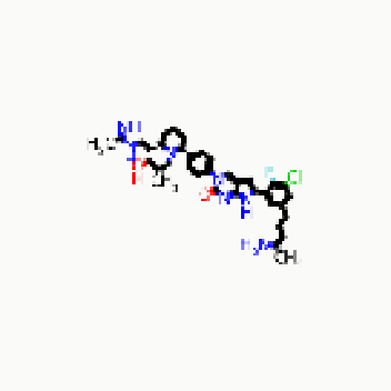 CC(=N)NCC[C@@H]1CCC[C@@H](c2ccc(-n3cc4cc(-c5cc(CCC[C@H](C)N)cc(Cl)c5F)[nH]c4nc3=O)cc2)N1C[C@@H](C)CO